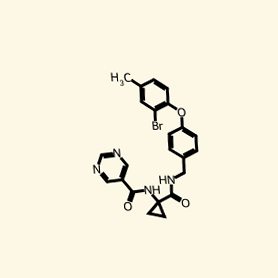 Cc1ccc(Oc2ccc(CNC(=O)C3(NC(=O)c4cncnc4)CC3)cc2)c(Br)c1